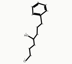 OC(CCCCl)CCCc1ccccc1